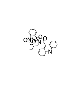 CCCCN(C(=O)c1c2ccccc2nc2ccccc12)S(=O)(=O)c1ccccc1[N+](=O)[O-]